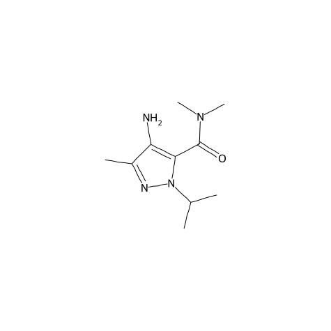 Cc1nn(C(C)C)c(C(=O)N(C)C)c1N